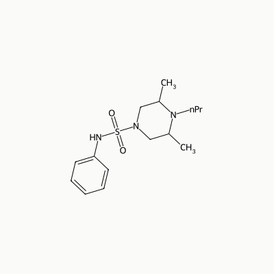 CCCN1C(C)CN(S(=O)(=O)Nc2ccccc2)CC1C